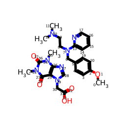 COc1ccc(CN(CCN(C)C)c2ccccn2)cc1.Cn1c(=O)c2c(ncn2CC(=O)O)n(C)c1=O